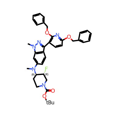 CN(c1ccc2c(-c3ccc(OCc4ccccc4)nc3OCc3ccccc3)nn(C)c2c1)[C@@H]1CCN(C(=O)OC(C)(C)C)C[C@H]1F